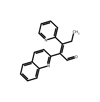 CC/C(=C(\[C]=O)c1ccc2ccccc2n1)c1ccccn1